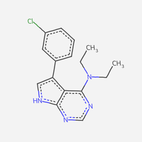 CCN(CC)c1ncnc2[nH]cc(-c3cccc(Cl)c3)c12